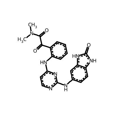 CN(C)C(=O)C(=O)c1ccccc1Nc1ccnc(Nc2ccc3[nH]c(=O)[nH]c3c2)n1